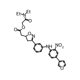 CCN(CC)C(=O)COC(=O)CC1CC(c2cccc(Nc3ccc(-c4ccoc4)cc3[N+](=O)[O-])c2)=NO1